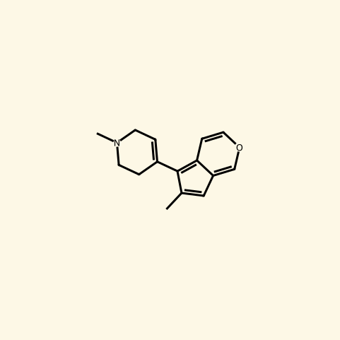 Cc1cc2coccc-2c1C1=CCN(C)CC1